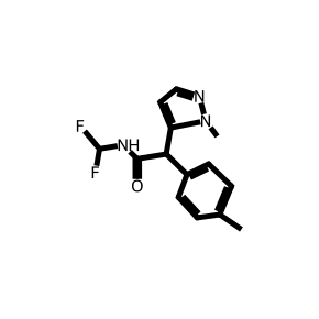 Cc1ccc(C(C(=O)NC(F)F)c2ccnn2C)cc1